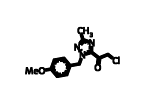 COc1ccc(Cn2nc(C)nc2C(=O)CCl)cc1